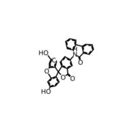 O=C(Nc1ccc2c(c1)C(=O)OC21c2ccc(O)cc2Oc2cc(O)ccc21)c1ccccc1-c1ccccc1